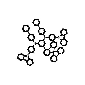 c1cccc(-c2ccc(N(c3ccc(-n4c5ccccc5c5ccccc54)cc3)c3cc(-c4cccc5c4-c4ccccc4C54c5ccccc5-c5ccccc54)cc(N(c4ccc(-c5ccccc5)cc4)c4ccc(-n5c6ccccc6c6ccccc65)cc4)c3)cc2)c#1